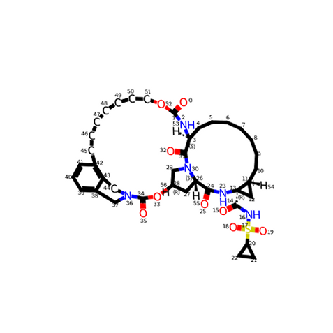 O=C1N[C@H]2CCCCCCC[C@@H]3C[C@@]3(C(=O)NS(=O)(=O)C3CC3)NC(=O)[C@@H]3C[C@H](CN3C2=O)OC(=O)N2Cc3cccc(c3C2)CCCCCCCO1